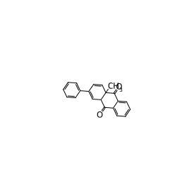 CC12C=CC(c3ccccc3)=CC1C(=O)c1ccccc1C2=O